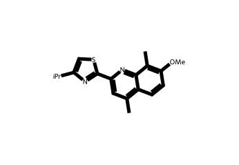 COc1ccc2c(C)cc(-c3nc(C(C)C)cs3)nc2c1C